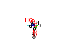 Cc1c(CC(=O)O)c2cc(F)ccc2n1C(=O)c1ccc(OC[C@@H]2Cc3ccccc3O2)cc1Cl